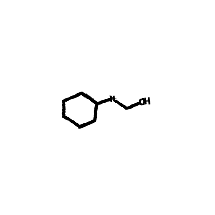 OC[N]C1CCCCC1